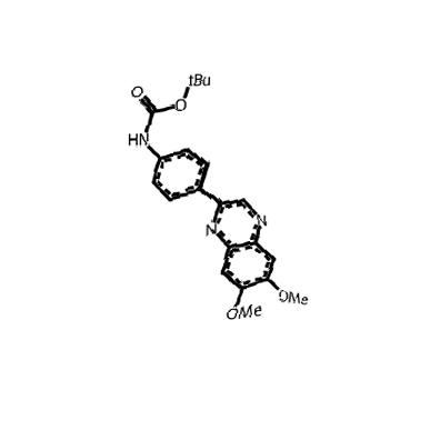 COc1cc2ncc(-c3ccc(NC(=O)OC(C)(C)C)cc3)nc2cc1OC